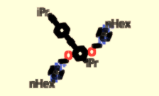 CCCCCC[N+]12CC[N+](CCOc3cc(C(C)C)c(OCC[N+]45CC[N+](CCCCCC)(CC4)CC5)cc3C#Cc3ccc(C#CC(C)C)cc3)(CC1)CC2